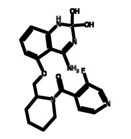 NC1=NS(O)(O)Nc2cccc(OCC3CCCCN3C(=O)c3ccncc3F)c21